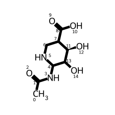 CC(=O)NC1NCC(C(=O)O)[C@@H](O)C1O